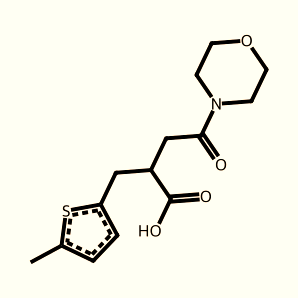 Cc1ccc(CC(CC(=O)N2CCOCC2)C(=O)O)s1